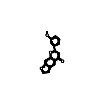 COc1cccc(-c2cc(=O)c3cc4ccoc4cc3o2)c1